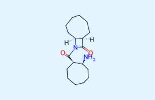 N[C@H]1CCCCCC[C@H]1C(=O)N1C(=O)[C@@H]2CCCCCC[C@@H]21